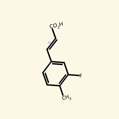 Cc1ccc(/C=C/C(=O)O)cc1F